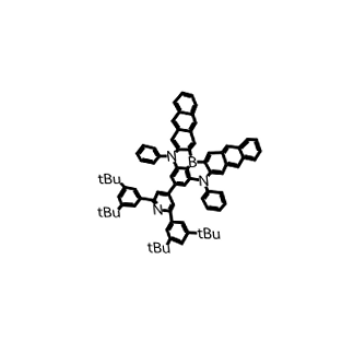 CC(C)(C)c1cc(-c2cc(-c3cc4c5c(c3)N(c3ccccc3)c3cc6cc7ccccc7cc6cc3B5c3cc5cc6ccccc6cc5cc3N4c3ccccc3)cc(-c3cc(C(C)(C)C)cc(C(C)(C)C)c3)n2)cc(C(C)(C)C)c1